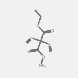 CCOC(=O)C(N=O)(N=O)C(=O)ON